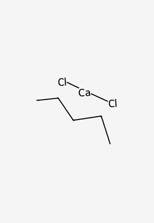 CCCCC.[Cl][Ca][Cl]